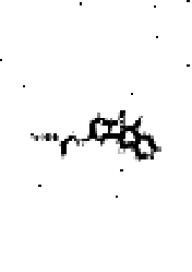 CC(=O)N[C@@H](C)COc1ccc2c(c1)c1cc3cnccc3c(C)c1n2C